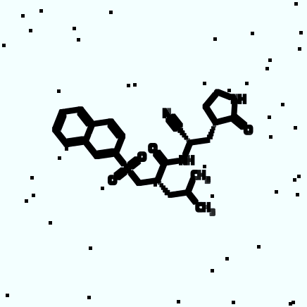 CC(C)C[C@H](CS(=O)(=O)c1ccc2ccccc2c1)C(=O)N[C@H](C#N)C[C@@H]1CCNC1=O